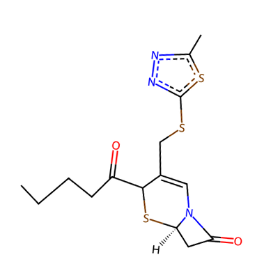 CCCCC(=O)C1S[C@@H]2CC(=O)N2C=C1CSc1nnc(C)s1